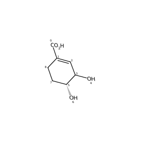 O=C(O)C1=CC(O)[C@H](O)CC1